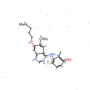 CNCCCOc1cc2ncnc(Nc3c(F)ccc(O)c3C)c2cc1OC